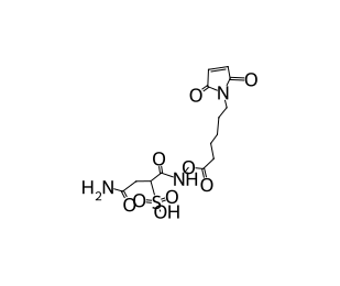 NC(=O)CC(C(=O)NOC(=O)CCCCCN1C(=O)C=CC1=O)S(=O)(=O)O